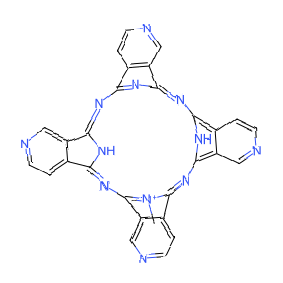 C[n+]1c2nc3[nH]c(nc4nc(nc5[nH]c(nc1-c1ccncc1-2)c1cnccc51)-c1cnccc1-4)c1cnccc31